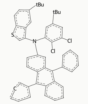 CC(C)(C)c1cc(Cl)c(Cl)c(N(c2ccc3c(-c4ccccc4)c4ccccc4c(-c4ccccc4)c3c2)c2csc3ccc(C(C)(C)C)cc23)c1